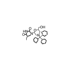 O=c1[nH]c(=O)n(C2CN(C(c3ccccc3)(c3ccccc3)c3ccccc3)CC(CO)O2)cc1I